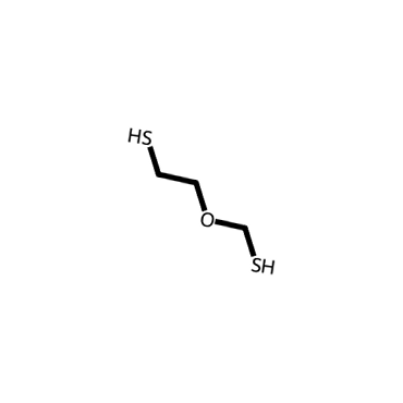 SCCOCS